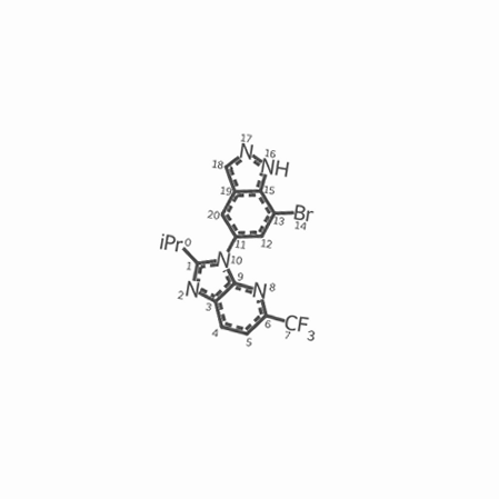 CC(C)c1nc2ccc(C(F)(F)F)nc2n1-c1cc(Br)c2[nH]ncc2c1